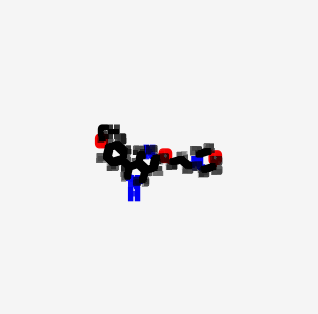 COc1ccc(C2CNCc3cc(OCCCN4CCOCC4)ncc32)cc1